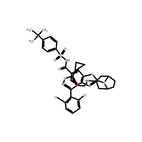 CC(C)(C)c1ccc(S(=O)(=O)NC(=O)c2ccc3nc(N4C5CCC4CC(NCc4c(-c6c(Cl)cccc6Cl)noc4C4CC4)C5)sc3c2)cc1